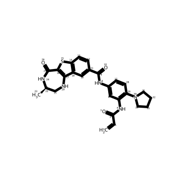 C=CC(=O)Nc1cc(NC(=O)c2ccc3sc4c(c3c2)NC[C@@H](C)NC4=O)ccc1N1CCCC1